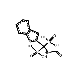 O=CNC(c1cc2ccccc2s1)(P(=O)(O)O)P(=O)(O)O